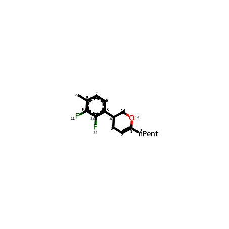 CCCCCC1=CCC(c2ccc(C)c(F)c2F)CO1